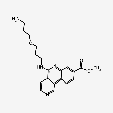 COC(=O)c1ccc2c(c1)nc(NCCCOCCCN)c1ccncc12